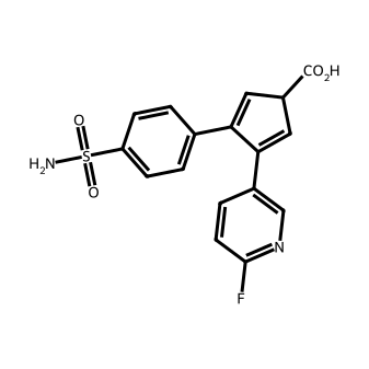 NS(=O)(=O)c1ccc(C2=CC(C(=O)O)C=C2c2ccc(F)nc2)cc1